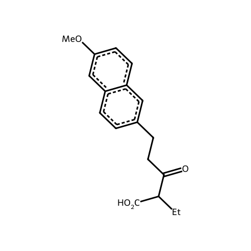 CCC(C(=O)O)C(=O)CCc1ccc2cc(OC)ccc2c1